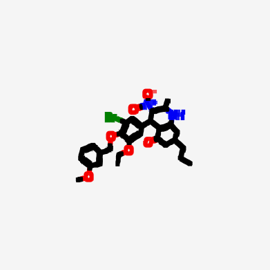 CCCC1CC(=O)C2=C(C1)NC(C)=C([N+](=O)[O-])C2c1cc(Br)c(OCc2cccc(OC)c2)c(OCC)c1